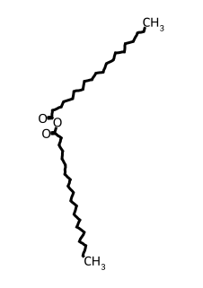 CCCCCCCCCCCCCCCCCCCC(=O)OC(=O)CCCCCCCCCCCCCCCCCCC